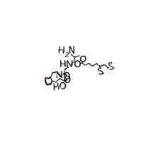 CSCCC(CCCCC(=O)OC(NCCC(=O)N1CCc2ccccc2CC1C(=O)O)C(C)CN)SC